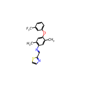 Cc1cc(Oc2cccc(C(F)(F)F)c2)c(C)cc1/N=C/c1nccs1